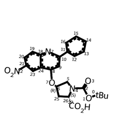 CC(C)(C)OC(=O)N1C[C@H](Oc2cc(-c3ccccc3)nc3ccc([N+](=O)[O-])cc23)C[C@H]1C(=O)O